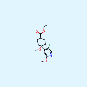 CCOC(=O)C1CCC(OC)(c2cc(OC)ncc2F)CC1